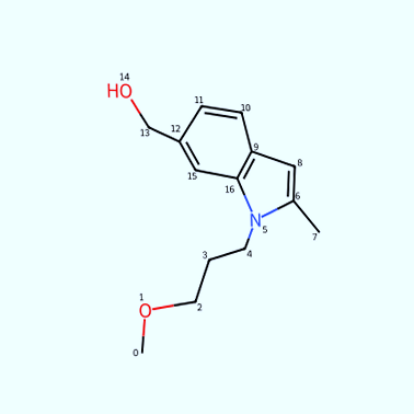 COCCCn1c(C)cc2ccc(CO)cc21